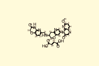 COc1ccc2ncc(=O)n(-c3cnc4c(c3)OCC(NCc3ccc5c(n3)NC(=O)CO5)C4)c2n1.O=C(O)C=CC(=O)O